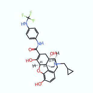 O=C(Nc1ccc(NC(F)(F)F)cc1)C1=C(O)[C@@H]2Oc3c(O)ccc4c3[C@@]23CCN(CC2CC2)[C@H](C4)[C@]3(O)C1